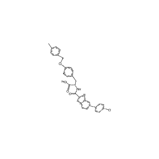 Cc1ccc(COc2ccc(CC(NC(=O)c3cn4ccc(-c5ccc(Cl)cc5)cc4n3)C(=O)O)cc2)cc1